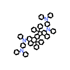 c1ccc(N(c2ccccc2)c2ccc(N(c3ccccc3)c3cc4c(c5ccccc35)-c3cc5c(cc3C4(c3ccccc3)c3ccccc3)-c3ccc(N(c4ccccc4)c4ccc(N(c6ccccc6)c6ccccc6)cc4)c4cccc(c34)C5(c3ccccc3)c3ccccc3)cc2)cc1